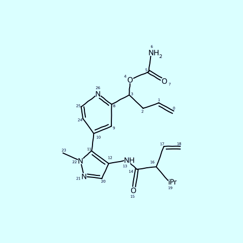 C=CCC(OC(N)=O)c1cc(-c2c(NC(=O)C(C=C)C(C)C)cnn2C)ccn1